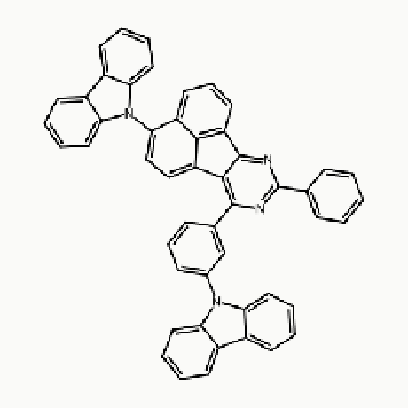 c1ccc(-c2nc(-c3cccc(-n4c5ccccc5c5ccccc54)c3)c3c(n2)-c2cccc4c(-n5c6ccccc6c6ccccc65)ccc-3c24)cc1